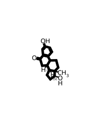 C[C@]12CCC3c4ccc(O)cc4C(=O)C[C@H]3[C@@H]1CC[C@@H]2O